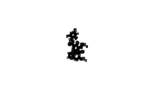 COc1c2n(cc(C(=O)NCc3c(F)cc(F)cc3F)c1=O)[C@@H]1CN(C2=O)[C@@H](C)CCC12OCCO2